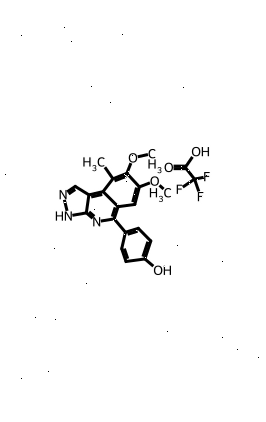 COc1cc2c(-c3ccc(O)cc3)nc3[nH]ncc3c2c(C)c1OC.O=C(O)C(F)(F)F